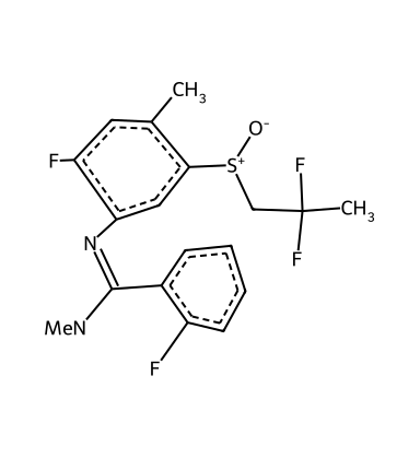 CN/C(=N/c1cc([S+]([O-])CC(C)(F)F)c(C)cc1F)c1ccccc1F